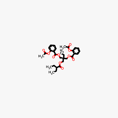 CCC(CC)C(=O)OCC(CC)(COC(=O)c1ccccc1OC(C)=O)COC(=O)c1ccccc1OC(C)=O